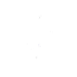 Cc1nc2c(C(C)(C)C)c(C(C)C)ccc2s1